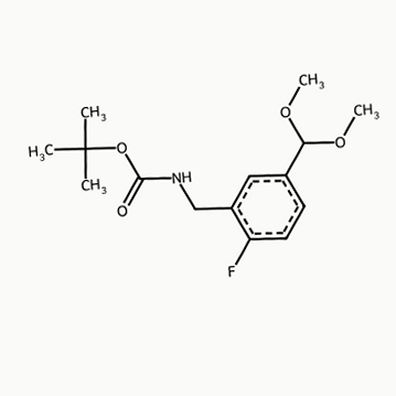 COC(OC)c1ccc(F)c(CNC(=O)OC(C)(C)C)c1